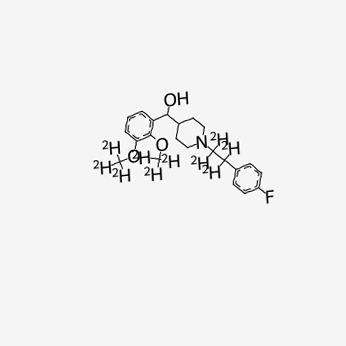 [2H]C([2H])([2H])Oc1cccc(C(O)C2CCN(C([2H])([2H])C([2H])([2H])c3ccc(F)cc3)CC2)c1OC([2H])([2H])[2H]